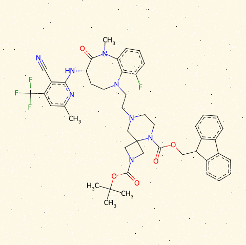 Cc1cc(C(F)(F)F)c(C#N)c(N[C@H]2CCN(CCN3CCN(C(=O)OCC4c5ccccc5-c5ccccc54)C4(C3)CN(C(=O)OC(C)(C)C)C4)c3c(F)cccc3N(C)C2=O)n1